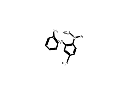 CC(C)N(c1ccc([N+](=O)[O-])cc1[N+](=O)[O-])S(=O)(=O)O.Cc1ccccc1